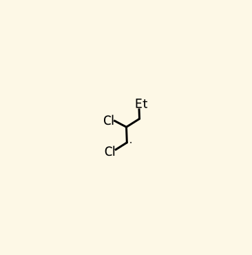 [CH2]CCC(Cl)[CH]Cl